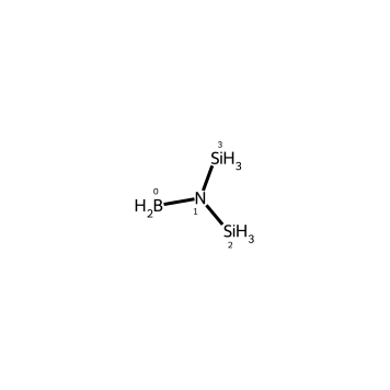 BN([SiH3])[SiH3]